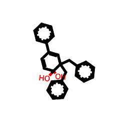 OC1(O)C=CC(c2ccccc2)=CC1(Cc1ccccc1)Cc1ccccc1